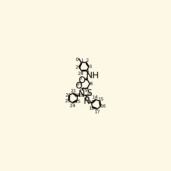 Cc1ccc(NC(=O)CC2SC(=Nc3ccccc3)N(c3ccccc3)C2=O)cc1